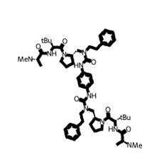 CN[C@@H](C)C(=O)N[C@H](C(=O)N1CCC[C@H]1CN(CCc1ccccc1)C(=O)Nc1ccc(NC(=O)N(CCc2ccccc2)C[C@@H]2CCCN2C(=O)[C@@H](NC(=O)[C@H](C)NC)C(C)(C)C)cc1)C(C)(C)C